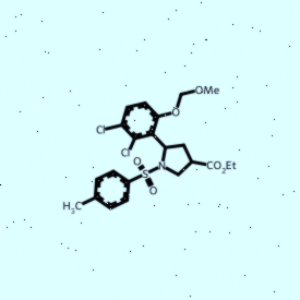 CCOC(=O)C1CC(c2c(OCOC)ccc(Cl)c2Cl)N(S(=O)(=O)c2ccc(C)cc2)C1